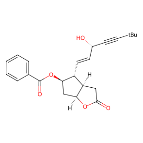 CC(C)(C)C#C[C@@H](O)C=C[C@@H]1[C@H]2CC(=O)O[C@H]2C[C@H]1OC(=O)c1ccccc1